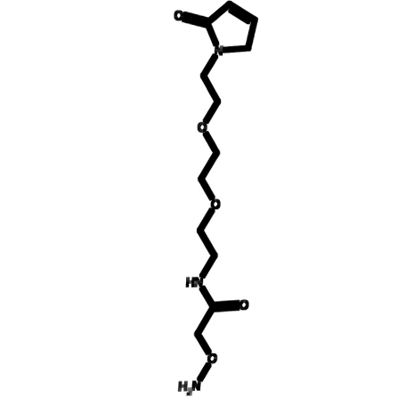 NOCC(=O)NCCOCCOCCN1CC=CC1=O